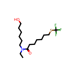 CCN(CCCCCCO)C(=O)CCCCCCSC(F)(F)F